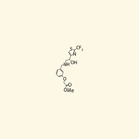 COC(=O)COc1cccc(CNCC(O)c2csc(C(F)(F)F)n2)c1